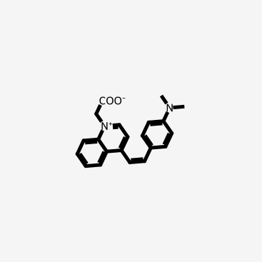 CN(C)c1ccc(/C=C\c2cc[n+](CC(=O)[O-])c3ccccc23)cc1